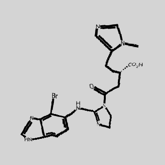 Cn1cncc1C[C@@H](CC(=O)N1CCN=C1Nc1ccc2[nH]cnc2c1Br)C(=O)O